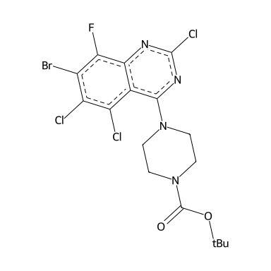 CC(C)(C)OC(=O)N1CCN(c2nc(Cl)nc3c(F)c(Br)c(Cl)c(Cl)c23)CC1